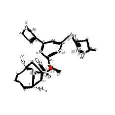 CCS(=O)(=O)N1[C@@H]2CCC[C@H]1C[C@H](N(C)c1nc(Nc3cc(C)[nH]n3)cc(C3=CCOC3)n1)C2